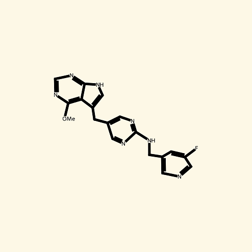 COc1ncnc2[nH]cc(Cc3cnc(NCc4cncc(F)c4)nc3)c12